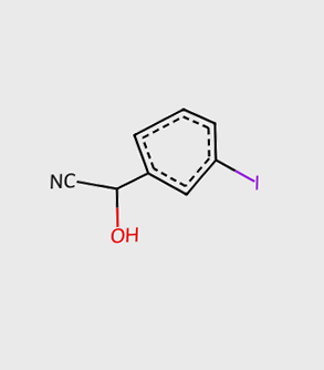 N#CC(O)c1cccc(I)c1